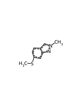 CSc1ccc2cn(C)nc2c1